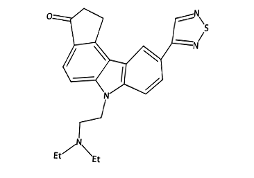 CCN(CC)CCn1c2ccc(-c3cnsn3)cc2c2c3c(ccc21)C(=O)CC3